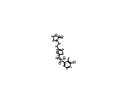 Cc1c(Cl)cccc1S(=O)(=O)Nc1nc(CCN2CCOC2=O)cs1